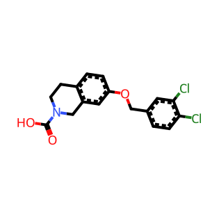 O=C(O)N1CCc2ccc(OCc3ccc(Cl)c(Cl)c3)cc2C1